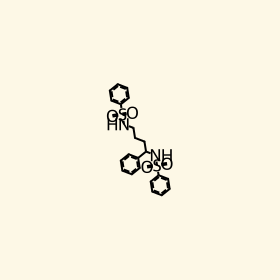 O=S(=O)(NCCCC(NS(=O)(=O)c1ccccc1)c1ccccc1)c1ccccc1